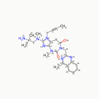 CC#CCn1c(N(C)CC(C)(C)N)nc2c1CC(=O)N(Cc1nc(C)c3ccccc3n1)C(=O)N2C